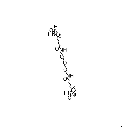 O=C(CCCC[C@@H]1SCC2NC(=O)NC21)NCCOCCOCCOCCNC(=O)CCCC[C@H]1SCC2NC(=O)NC21